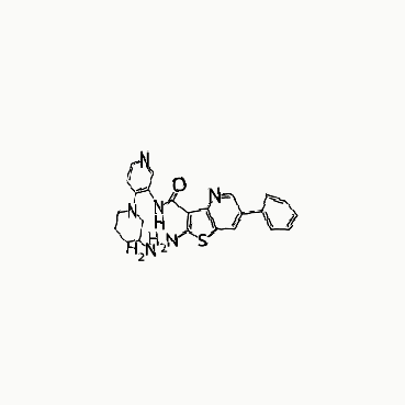 Nc1sc2cc(-c3ccccc3)cnc2c1C(=O)Nc1cnccc1N1CCCC(N)C1